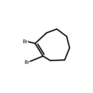 BrC1=C(Br)CCCCCC1